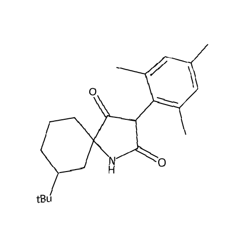 Cc1cc(C)c(C2C(=O)NC3(CCCC(C(C)(C)C)C3)C2=O)c(C)c1